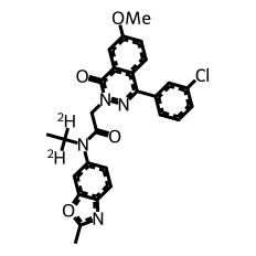 [2H]C([2H])(C)N(C(=O)Cn1nc(-c2cccc(Cl)c2)c2ccc(OC)cc2c1=O)c1ccc2nc(C)oc2c1